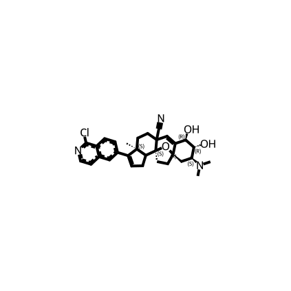 CN(C)[C@H]1C[C@@]23CC[C@]4(O2)C2CC=C(c5ccc6c(Cl)nccc6c5)[C@@]2(C)CCC4(C#N)C=C3[C@@H](O)[C@@H]1O